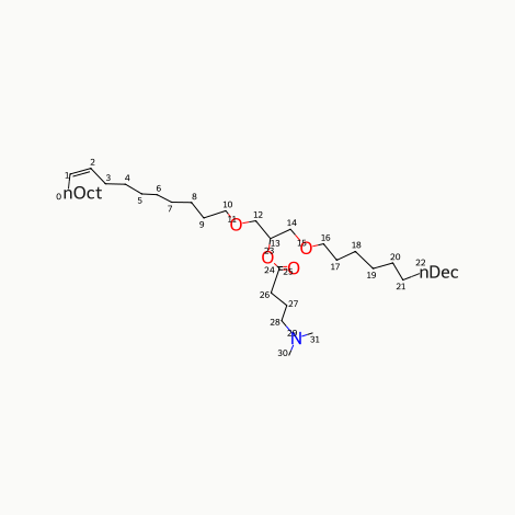 CCCCCCCC/C=C\CCCCCCCCOCC(COCCCCCCCCCCCCCCCC)OC(=O)CCCN(C)C